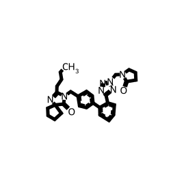 CCCCC1=NC2(CCCC2)C(=O)N1Cc1ccc(-c2ccccc2-c2nnn(CN3CCCC3=O)n2)cc1